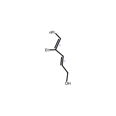 CCC/C=C(/C=C/CO)CC